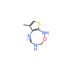 Cc1csc2c1/N=C\NCON2